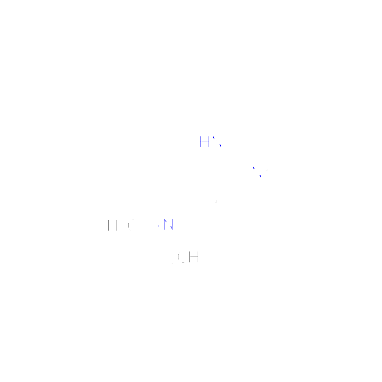 CN(C)CCc1ncc[nH]1